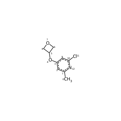 Cc1cc(OC2COC2)cc(Cl)n1